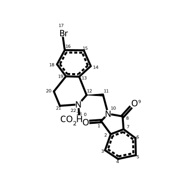 O=C1c2ccccc2C(=O)N1C[C@@H]1c2ccc(Br)cc2CCN1C(=O)O